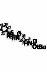 CC(C)(C)OC(=O)NC[C@H]1C[C@H](NC(=O)c2cnc(-c3ccccc3)s2)C1